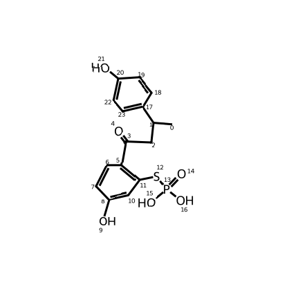 CC(CC(=O)c1ccc(O)cc1SP(=O)(O)O)c1ccc(O)cc1